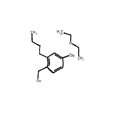 CCCCc1cc(O)ccc1CO.CCOCC